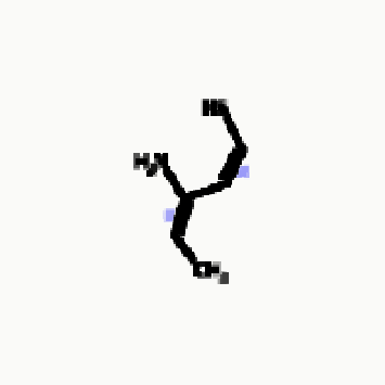 C/C=C(N)\C=C/S